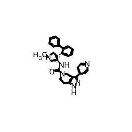 CN1C[C@H](NC(=O)N2CCc3[nH]nc(-c4ccncc4)c3C2)[C@@H](c2ccccc2-c2ccccc2)C1